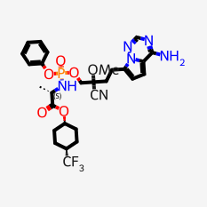 COC(C#N)(CCc1ccc2c(N)ncnn12)COP(=O)(N[C@@H](C)C(=O)O[C@H]1CC[C@@H](C(F)(F)F)CC1)Oc1ccccc1